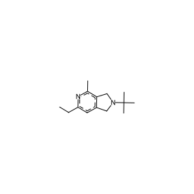 CCc1cc2c(c(C)n1)CN(C(C)(C)C)C2